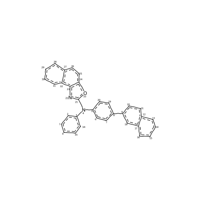 c1ccc(N(c2ccc(-c3ccc4ccccc4c3)cc2)c2nc3c(ccc4ccccc43)o2)cc1